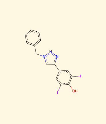 Oc1c(I)cc(-c2cn(Cc3ccccc3)nn2)cc1I